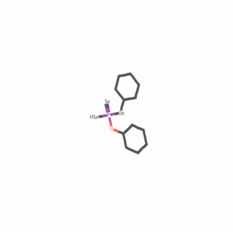 [Se]=P([SeH])(OC1CCCCC1)[Se]C1CCCCC1